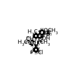 Cc1cccc(C(C(=O)O)N(C)CC[C@@H](c2cc(F)cc(Cl)c2)N2CCN(C(C)C)CC2)c1C1CCC(OC(C)C(F)(F)F)CC1